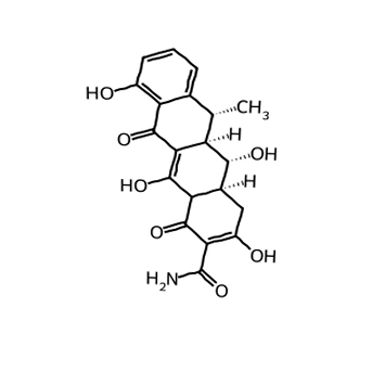 C[C@H]1c2cccc(O)c2C(=O)C2=C(O)C3C(=O)C(C(N)=O)=C(O)C[C@@H]3[C@@H](O)[C@@H]21